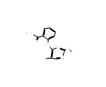 CNc1ncc(Cl)c(Nc2ccccc2C(N)=O)n1